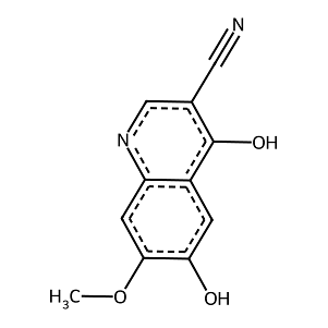 COc1cc2ncc(C#N)c(O)c2cc1O